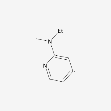 CCN(C)c1c[c]ccn1